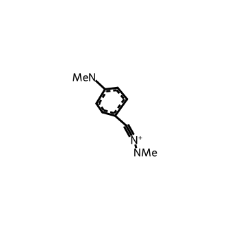 CN[N+]#Cc1ccc(NC)cc1